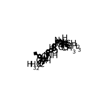 C=CCCN(Cc1ncc(-c2ccc3c(c2)COc2cc4c(ccc5nc(CN(CCC=C)C(=O)[C@H](NC(=O)OC)c6ccc(C7C=CC7)cc6)[nH]c54)cc2-3)[nH]1)C(=O)[C@@H](NC(=O)OC)C(C)C